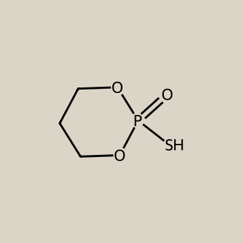 O=P1(S)OCCCO1